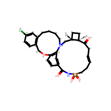 O=C1NS(=O)(=O)CC/C=C/CC(=O)[C@@H]2CC[C@H]2CN2CCCCc3cc(Cl)ccc3COc3ccc1cc32